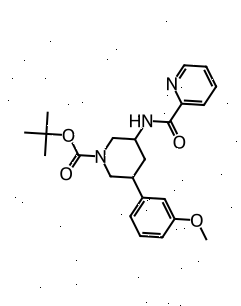 COc1cccc(C2CC(NC(=O)c3ccccn3)CN(C(=O)OC(C)(C)C)C2)c1